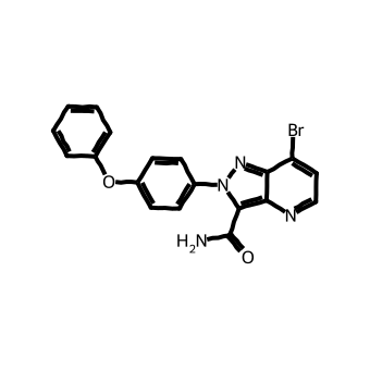 NC(=O)c1c2nccc(Br)c2nn1-c1ccc(Oc2ccccc2)cc1